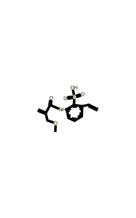 C=C(COC)C(N)=O.C=Cc1ccccc1S(=O)(=O)O